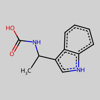 CC(NC(=O)O)c1c[nH]c2ccccc12